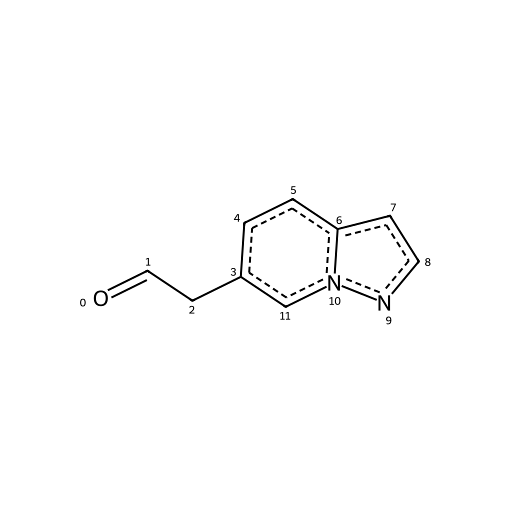 O=CCc1ccc2ccnn2c1